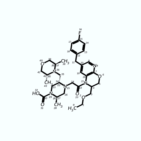 CCOCC1COc2ncc(Cc3ccc(F)cc3)cc2N1C(=O)CN1C[C@@H](C)N(C(=O)O)C[C@@H]1CN1[C@H](C)COC[C@H]1C